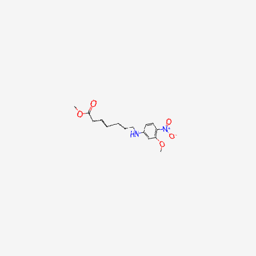 COC(=O)CCCCCCNc1ccc([N+](=O)[O-])c(OC)c1